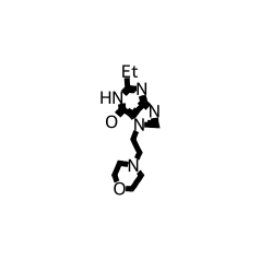 CCc1nc2ncn(CCN3CCOCC3)c2c(=O)[nH]1